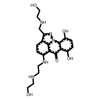 O=c1c2c(O)ccc(O)c2n2nc(CNCCO)c3ccc(NCCNCCO)c1c32